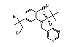 CC(Br)(CBr)c1ccc(C#N)c(N(Cc2cncnc2)S(=O)(=O)C(C)(C)C)c1